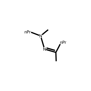 CCC/C(C)=N\N(C)CCC